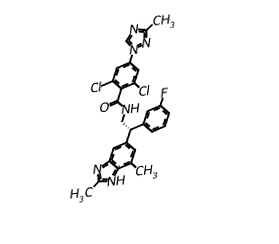 Cc1ncn(-c2cc(Cl)c(C(=O)NC[C@H](c3cccc(F)c3)c3cc(C)c4[nH]c(C)nc4c3)c(Cl)c2)n1